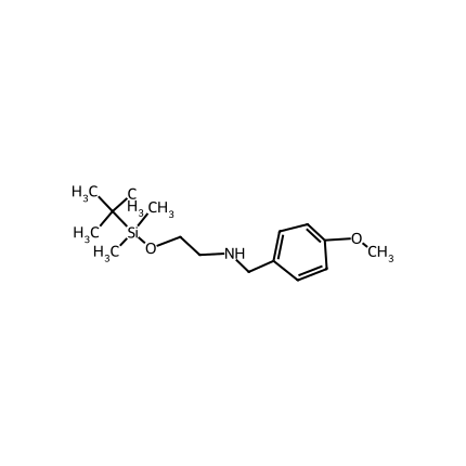 COc1ccc(CNCCO[Si](C)(C)C(C)(C)C)cc1